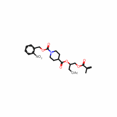 C=C(C)C(=O)OCC(COC(C)=O)OC(=O)C1CCN(C(=O)OCc2ccccc2[N+](=O)[O-])CC1